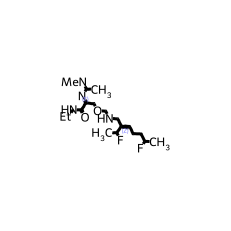 CCNC(=O)/C(COCNC/C(=C/CCC(C)F)C(C)F)=N/C(C)NC